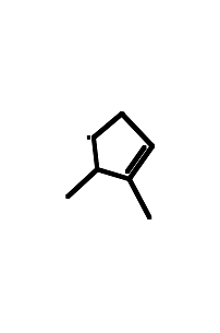 CC1=CC[CH]C1C